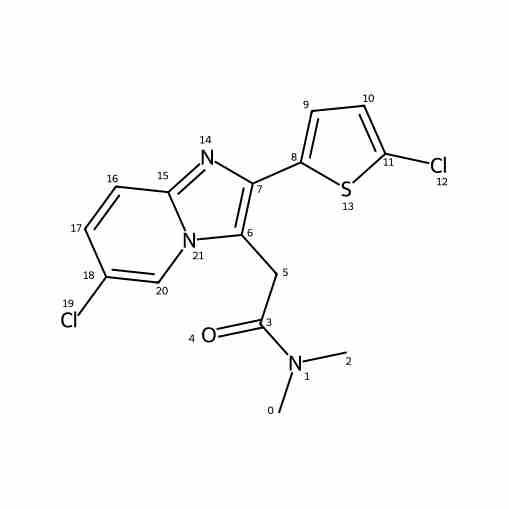 CN(C)C(=O)Cc1c(-c2ccc(Cl)s2)nc2ccc(Cl)cn12